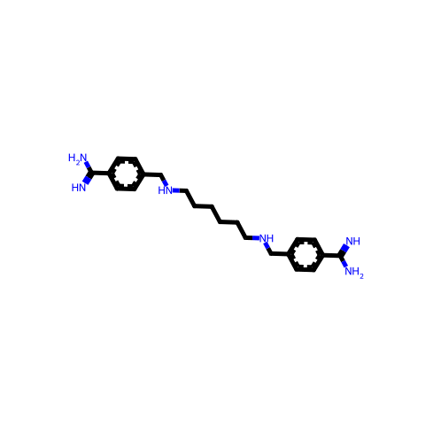 N=C(N)c1ccc(CNCCCCCCNCc2ccc(C(=N)N)cc2)cc1